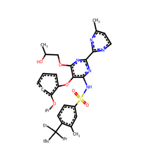 CCC(c1ccc(S(=O)(=O)Nc2nc(-c3nccc(C)n3)nc(OCC(C)O)c2Oc2ccccc2OC(C)C)cc1C)(C(C)C)C(C)(C)C